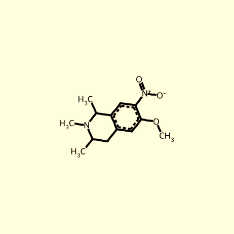 COc1cc2c(cc1[N+](=O)[O-])C(C)N(C)C(C)C2